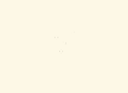 CCC(CC)O[Si](C)(OC)OC